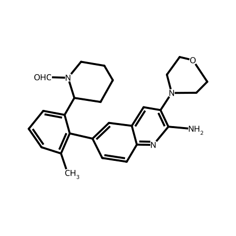 Cc1cccc(C2CCCCN2C=O)c1-c1ccc2nc(N)c(N3CCOCC3)cc2c1